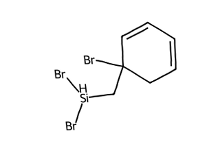 Br[SiH](Br)CC1(Br)C=CC=CC1